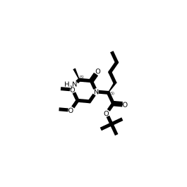 CCCC[C@@H](C(=O)OC(C)(C)C)N(CC(OC)OC)C(=O)[C@H](C)N